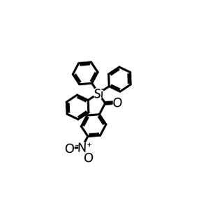 O=C(c1ccc([N+](=O)[O-])cc1)[Si](c1ccccc1)(c1ccccc1)c1ccccc1